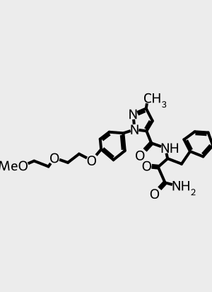 COCCOCCOc1ccc(-n2nc(C)cc2C(=O)NC(Cc2ccccc2)C(=O)C(N)=O)cc1